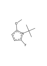 COc1ccc(F)n1C(C)(C)C